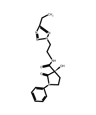 CCc1nnn(CCNC(=O)[C@]2(O)CCN(c3ccccc3)C2=O)n1